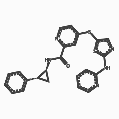 O=C(N[C@H]1C[C@@H]1c1ccccc1)c1cc(Sc2cnc(Nc3ccccn3)s2)ccn1